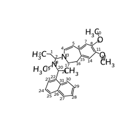 CCC(N1C=Cc2cc(OC)c(OC)cc2CC1)N(C)C(C)c1cccc2ccccc12